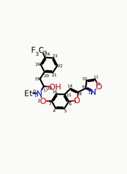 CCN(Oc1ccc2oc(-c3ccon3)cc2c1)C(O)Cc1cccc(C(F)(F)F)c1